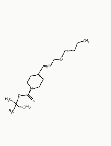 CCCCOC/C=C/C1CCN(C(=O)OC(C)(C)C)CC1